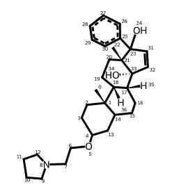 C[C@]12CCC(OCCN3CCCC3)CC1CC[C@@H]1[C@H]2CC[C@]2(C)C(O)(c3ccccc3)C=C[C@@]12O